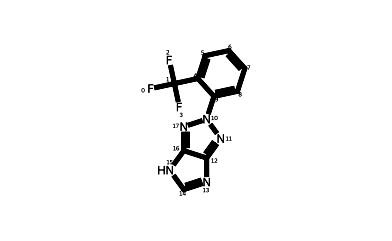 FC(F)(F)c1ccccc1-n1nc2n[c][nH]c2n1